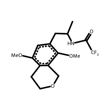 COc1cc(CC(C)NC(=O)C(F)(F)F)c(OC)c2c1CCOC2